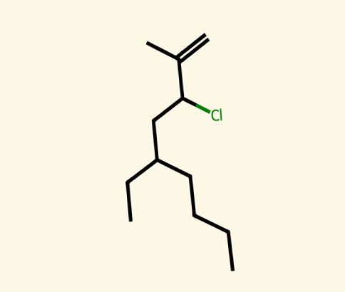 C=C(C)C(Cl)CC(CC)CCCC